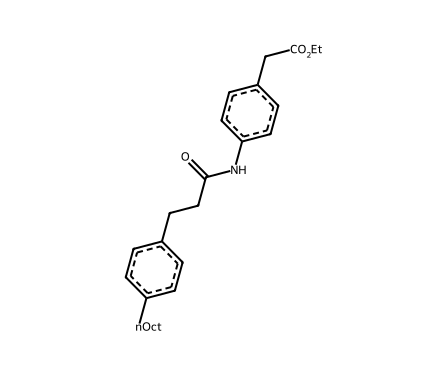 CCCCCCCCc1ccc(CCC(=O)Nc2ccc(CC(=O)OCC)cc2)cc1